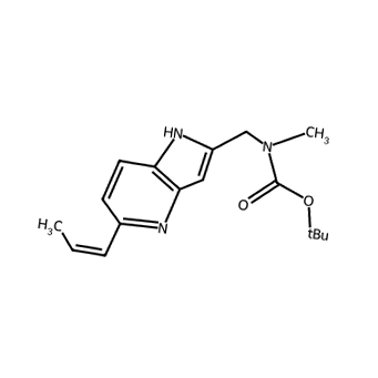 C/C=C\c1ccc2[nH]c(CN(C)C(=O)OC(C)(C)C)cc2n1